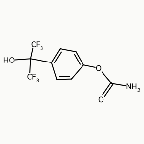 NC(=O)Oc1ccc(C(O)(C(F)(F)F)C(F)(F)F)cc1